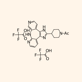 CC(=O)N1CCC(c2nc3c([nH]2)-c2ccncc2Nc2ncccc2-3)CC1.O=C(O)C(F)(F)F.O=C(O)C(F)(F)F